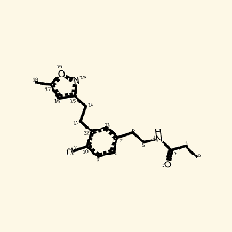 CCC(=O)NCCc1ccc(Cl)c(CCc2cc(C)on2)c1